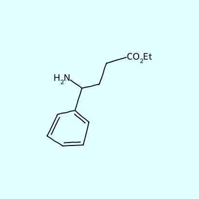 CCOC(=O)CCC(N)c1ccccc1